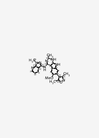 COc1cc2c3c([nH]c2cc1-c1c(C)noc1C)NC(C)N=C3Nc1nn(C)c2ncccc12